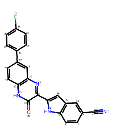 N#Cc1ccc2[nH]c(-c3nc4cc(-c5ccc(F)cc5)ccc4[nH]c3=O)cc2c1